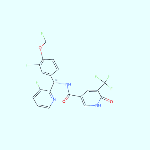 O=C(N[C@@H](c1ccc(OCF)c(F)c1)c1ncccc1F)c1c[nH]c(=O)c(C(F)(F)F)c1